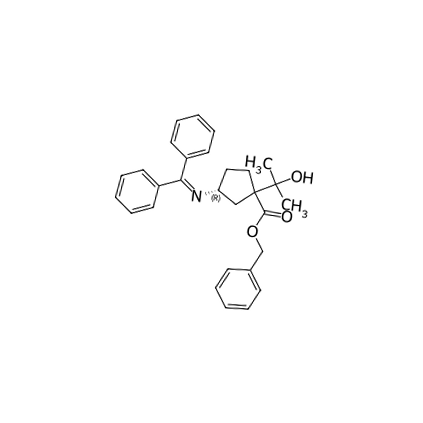 CC(C)(O)C1(C(=O)OCc2ccccc2)CC[C@@H](N=C(c2ccccc2)c2ccccc2)C1